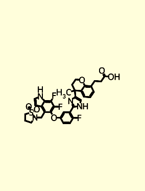 CC1(c2c[nH]c(-c3cc(Oc4c(F)c(F)c5[nH]ccc5c4CN4CCCS4(=O)=O)ccc3F)n2)CCOc2c(CCC(=O)O)cccc21